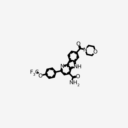 NC(=O)c1cc(-c2ccc(OC(F)(F)F)cc2)nc2c1[nH]c1cc(C(=O)N3CCOCC3)ccc12